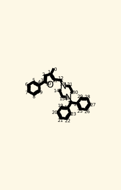 Cc1cc(-c2ccccc2)oc1CN1CCN(C(c2ccccc2)c2ccccc2)CC1